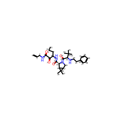 C=CCNC(=O)C(=O)C(CCC)NC(=O)[C@@H]1C2C(CN1C(=O)C(NCCc1ccccc1)C(C)(C)C)C2(C)C